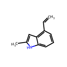 C=Cc1cccc2[nH]c(C)cc12